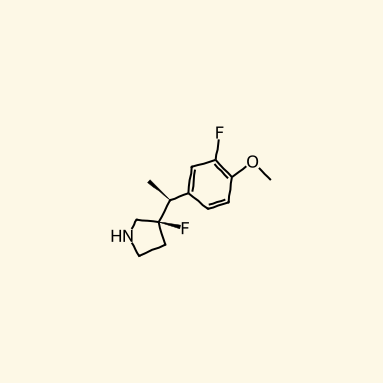 COc1ccc([C@H](C)[C@]2(F)CCNC2)cc1F